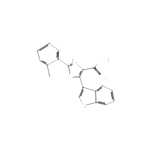 Cc1ccccc1-c1nc(C(=O)O)c(-c2c[nH]c3ccccc23)o1